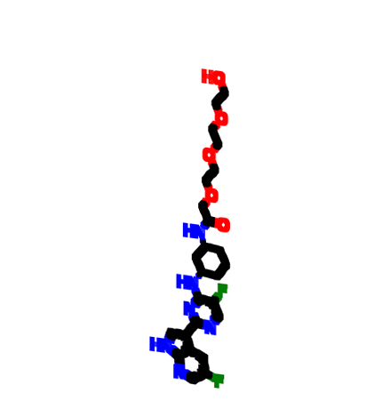 O=C(COCCOCCOCCO)N[C@@H]1CCC[C@H](Nc2nc(-c3c[nH]c4ncc(F)cc34)ncc2F)C1